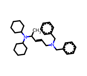 CC(C=CCN(Cc1ccccc1)Cc1ccccc1)N(C1CCCCC1)C1CCCCC1